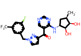 [CH2][C@@H]1C[C@@H](Nc2ncncc2C(=O)c2ccn(Cc3cc(F)cc(C(F)(F)F)c3)n2)[C@H](O)[C@@H]1O